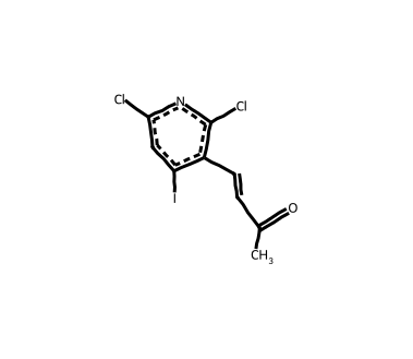 CC(=O)/C=C/c1c(I)cc(Cl)nc1Cl